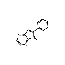 Cn1c(-c2ccccc2)[c]c2nccnc21